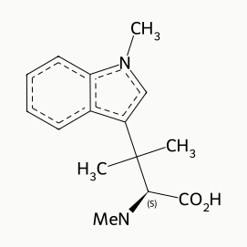 CN[C@H](C(=O)O)C(C)(C)c1cn(C)c2ccccc12